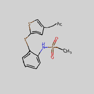 CC(=O)c1csc(Sc2ccccc2NS(C)(=O)=O)c1